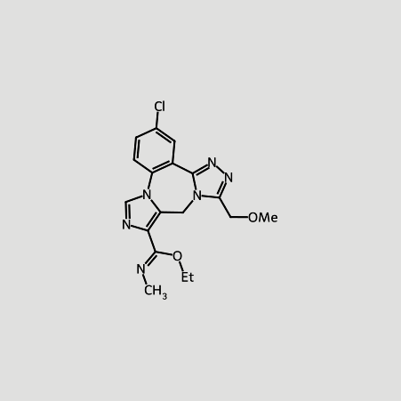 CCO/C(=N\C)c1ncn2c1Cn1c(COC)nnc1-c1cc(Cl)ccc1-2